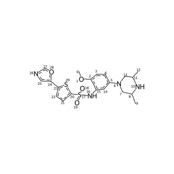 COc1ccc(N2CC(C)NC(C)C2)cc1NS(=O)(=O)c1ccc(-c2cnco2)s1